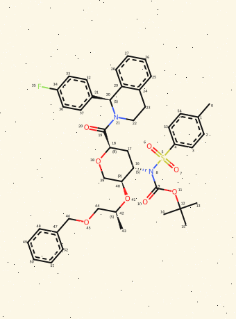 Cc1ccc(S(=O)(=O)N(C(=O)OC(C)(C)C)[C@H]2C[C@H](C(=O)N3CCc4ccccc4[C@@H]3c3ccc(F)cc3)OC[C@@H]2O[C@@H](C)COCc2ccccc2)cc1